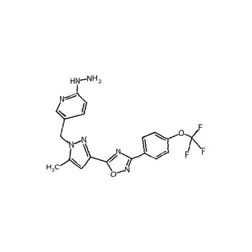 Cc1cc(-c2nc(-c3ccc(OC(F)(F)F)cc3)no2)nn1Cc1ccc(NN)nc1